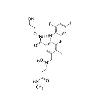 CNC(=O)CCN(O)Cc1cc(C(=O)NOCCO)c(Nc2ccc(I)cc2F)c(F)c1F